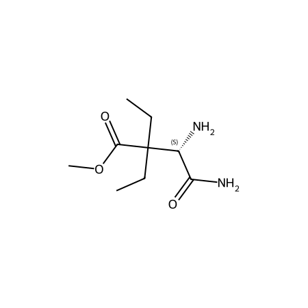 CCC(CC)(C(=O)OC)[C@H](N)C(N)=O